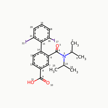 CC(C)N(C(=O)c1cc(C(=O)O)ccc1-c1c(I)cccc1I)C(C)C